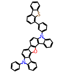 c1ccc(-n2c3ccccc3c3c4oc5c(ccc6c5c5ccccc5n6-c5cccc(-c6cccc7c6sc6ccccc67)c5)c4ccc32)cc1